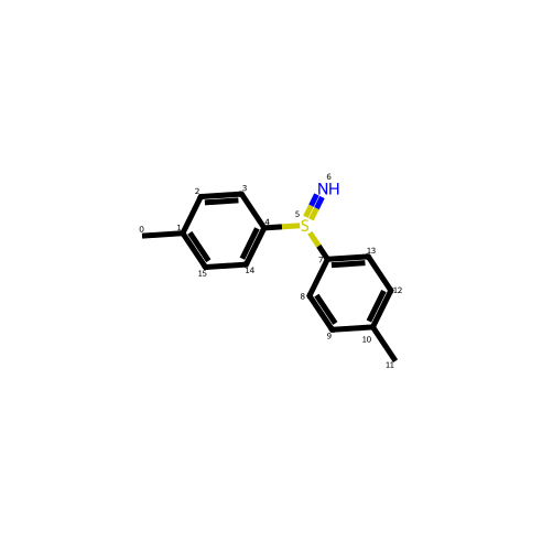 Cc1ccc(S(=N)c2ccc(C)cc2)cc1